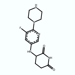 O=C1CCC(Nc2cnc(N3CCNCC3)c(F)c2)C(=O)N1